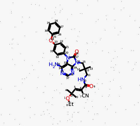 CCOC(C)(C)C=C(C#N)C(=O)NCC(C)(C)Cn1c(=O)n(-c2ccc(Oc3ccccc3)cc2)c2c(N)ncnc21